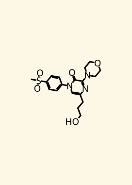 CS(=O)(=O)c1ccc(-n2cc(CCCO)nc(N3CCOCC3)c2=O)cc1